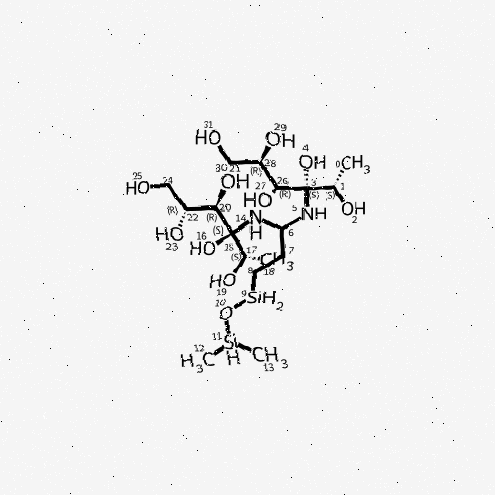 C[C@H](O)[C@@](O)(NC(CC[SiH2]O[SiH](C)C)N[C@](O)([C@H](C)O)[C@H](O)[C@H](O)CO)[C@H](O)[C@H](O)CO